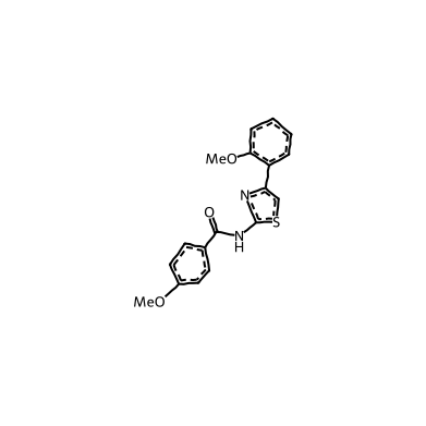 COc1ccc(C(=O)Nc2nc(-c3ccccc3OC)cs2)cc1